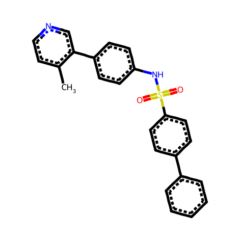 Cc1ccncc1-c1ccc(NS(=O)(=O)c2ccc(-c3ccccc3)cc2)cc1